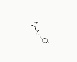 CC1(C)OC(=O)C(=CC(=O)NCCc2ccc(Cl)cc2)O1